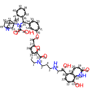 CCN(CCCNC[C@H](O)c1ccc(O)c2[nH]c(=O)ccc12)C(=O)c1ccc(COc2cccc([C@H](c3ccccc3)N(C(=O)O)[C@H]3CN4CCC3CC4)c2)o1